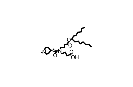 CCCCCCCC(CCCCCC)OC(=O)CCCN(CCCC(=O)O)C(=O)SC1CCN(C)CC1